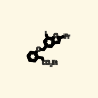 CCOC(=O)Cc1ccccc1OCc1cc(I)c2oc(C(C)C)cc2c1